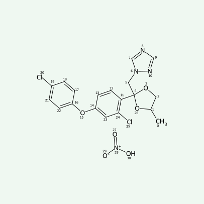 CC1COC(Cn2cncn2)(c2ccc(Oc3ccc(Cl)cc3)cc2Cl)O1.O=[N+]([O-])O